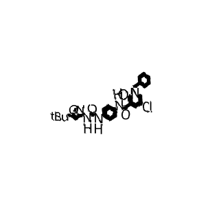 CC(C)(C)c1cc(NC(=O)Nc2ccc(NC(=O)c3cc(Cl)cn(Cc4ccccc4)c3=O)cc2)no1